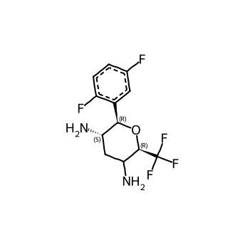 NC1C[C@H](N)[C@@H](c2cc(F)ccc2F)O[C@H]1C(F)(F)F